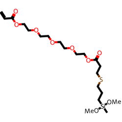 C=CC(=O)OCCOCCOCCOCCOC(=O)CCSCCC[Si](C)(OC)OC